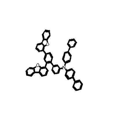 c1ccc(-c2ccc(N(c3ccc(-c4ccccc4)cc3)c3cccc(-c4ccc(-c5cccc6c5oc5ccccc56)cc4-c4cccc5c4oc4ccccc45)c3)cc2)cc1